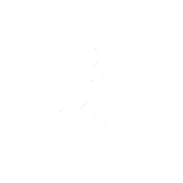 CCC(=O)Oc1ccc(Oc2c(-c3cccc(O)c3)ccc3cc(OC)ccc23)cc1